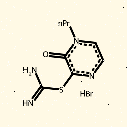 Br.CCCn1ccnc(SC(=N)N)c1=O